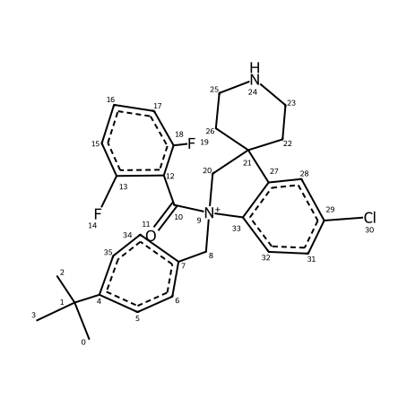 CC(C)(C)c1ccc(C[N+]2(C(=O)c3c(F)cccc3F)CC3(CCNCC3)c3cc(Cl)ccc32)cc1